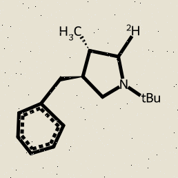 [2H]C1[C@@H](C)[C@H](Cc2ccccc2)CN1C(C)(C)C